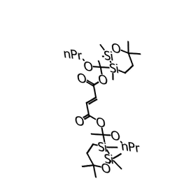 CCCOC(C)(OC(=O)C=CC(=O)OC(C)(OCCC)[Si]1(C)CCC(C)(C)O[Si]1(C)C)[Si]1(C)CCC(C)(C)O[Si]1(C)C